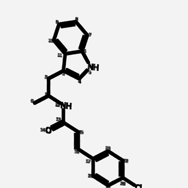 CC(Cc1c[nH]c2ccccc12)NC(=O)C=Cc1ccc(Cl)cc1